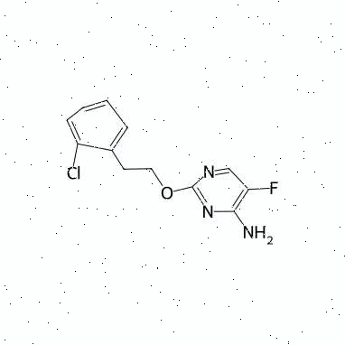 Nc1nc(OCCc2ccccc2Cl)ncc1F